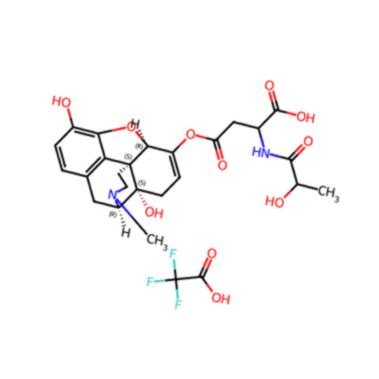 CC(O)C(=O)NC(CC(=O)OC1=CC[C@@]2(O)[C@H]3Cc4ccc(O)c5c4[C@@]2(CCN3C)[C@H]1O5)C(=O)O.O=C(O)C(F)(F)F